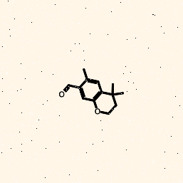 Cc1cc2c(cc1C=O)OCCC2(C)C